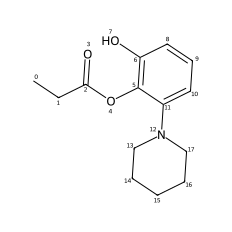 CCC(=O)Oc1c(O)cccc1N1CCCCC1